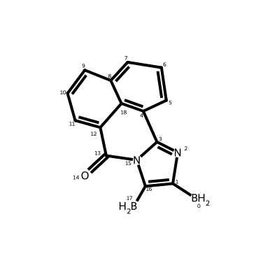 Bc1nc2c3cccc4cccc(c(=O)n2c1B)c43